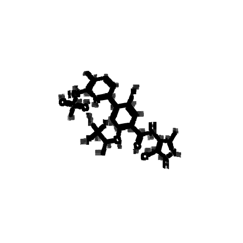 Cc1ccc(-c2cc(O[C@@H](C)C(F)(F)F)c(C(=O)Nc3c(C)n[nH]c3Cl)cc2F)nc1NS(C)(=O)=O